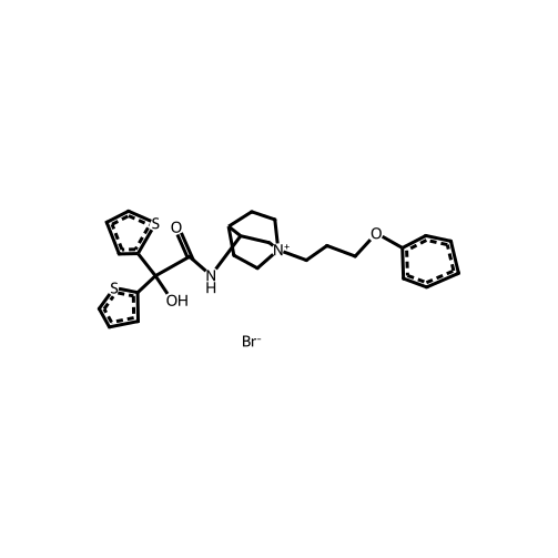 O=C(NC1C[N+]2(CCCOc3ccccc3)CCC1CC2)C(O)(c1cccs1)c1cccs1.[Br-]